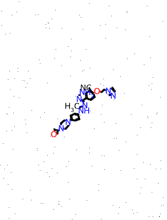 CC(/N=C(\N=C/N)c1ccc(OCCn2ccnc2)c(C#N)c1)Nc1ccc(N2CCN(C3COC3)CC2)cc1